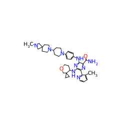 Cc1cccnc1-c1nc(C(N)=O)c(Nc2ccc(N3CCC(N4CCC5(CC4)CN(C)C5)CC3)cc2)nc1NC1CCOCC12CC2